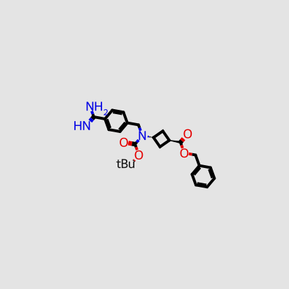 CC(C)(C)OC(=O)N(Cc1ccc(C(=N)N)cc1)[C@H]1C[C@H](C(=O)OCc2ccccc2)C1